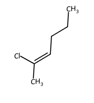 CCCC=C(C)Cl